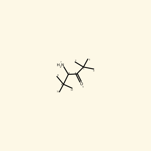 CC(C)(C)C(=O)C(N)C(C)(C)C